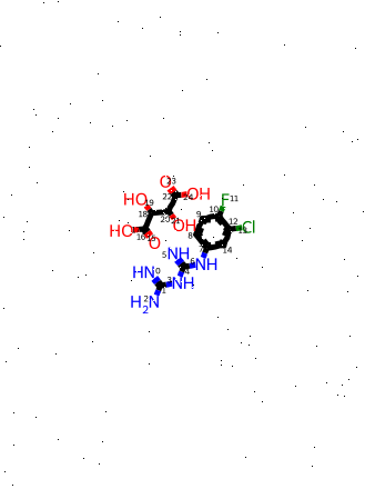 N=C(N)NC(=N)Nc1ccc(F)c(Cl)c1.O=C(O)C(O)C(O)C(=O)O